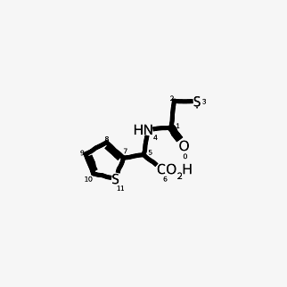 O=C(C[S])NC(C(=O)O)c1cccs1